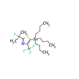 CCC[CH2][Sn]([CH2]CCC)([CH2]CCC)[c]1sc(C(C)(C)F)nc1C(F)(F)F